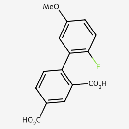 COc1ccc(F)c(-c2ccc(C(=O)O)cc2C(=O)O)c1